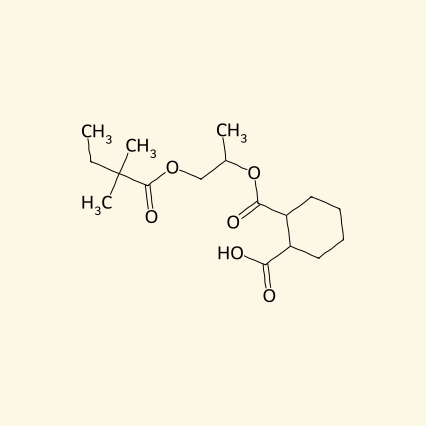 CCC(C)(C)C(=O)OCC(C)OC(=O)C1CCCCC1C(=O)O